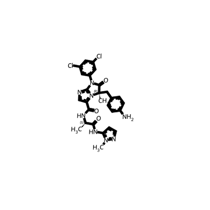 C[C@H](NC(=O)c1cnc2n1[C@](C)(Cc1ccc(N)cc1)C(=O)N2c1cc(Cl)cc(Cl)c1)C(=O)Nc1ccnn1C